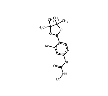 CCNC(=O)Nc1cc(C(C)=O)c(B2OC(C)(C)C(C)(C)O2)cn1